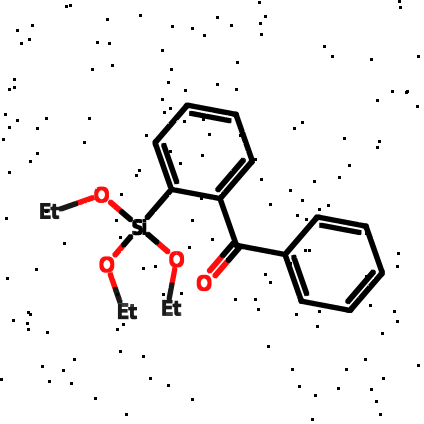 CCO[Si](OCC)(OCC)c1ccccc1C(=O)c1ccccc1